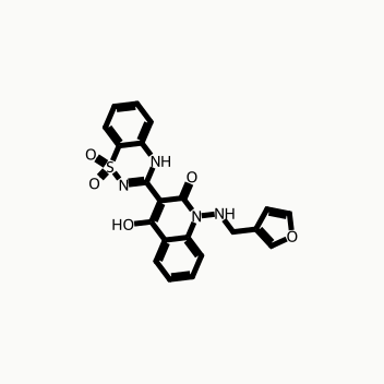 O=c1c(C2=NS(=O)(=O)c3ccccc3N2)c(O)c2ccccc2n1NCc1ccoc1